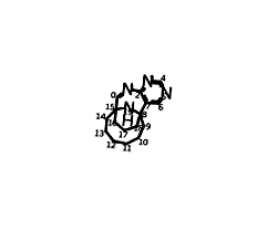 C1=Nc2ncncc2C23CCCCCCC1(CCC2)N3